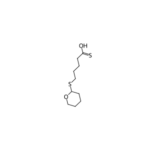 OC(=S)CCCCSC1CCCCO1